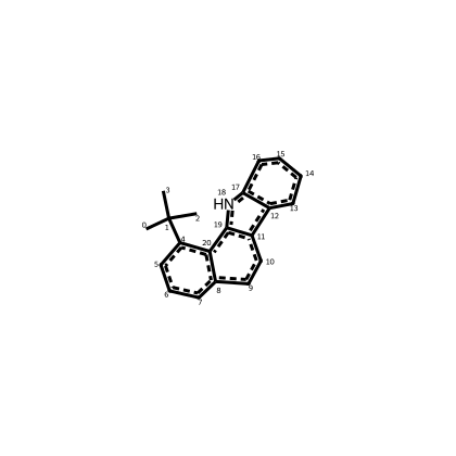 CC(C)(C)c1cccc2ccc3c4ccccc4[nH]c3c12